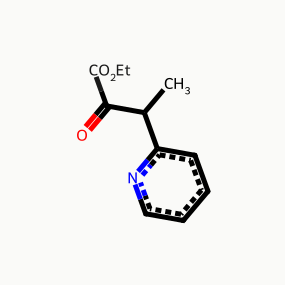 CCOC(=O)C(=O)C(C)c1ccccn1